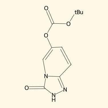 CC(C)(C)OC(=O)Oc1ccc2n[nH]c(=O)n2c1